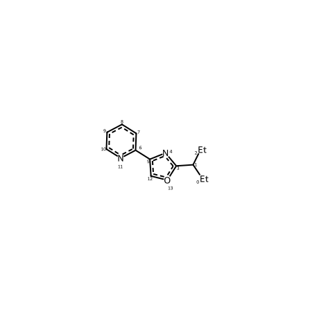 CCC(CC)c1nc(-c2ccccn2)co1